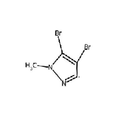 Cn1n[c]c(Br)c1Br